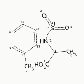 CC(N[SH](=O)=O)C(=O)O.Cc1ccccc1